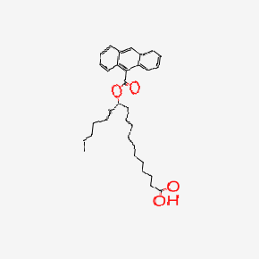 CCCCCCC(CCCCCCCCCCC(=O)O)OC(=O)c1c2ccccc2cc2ccccc12